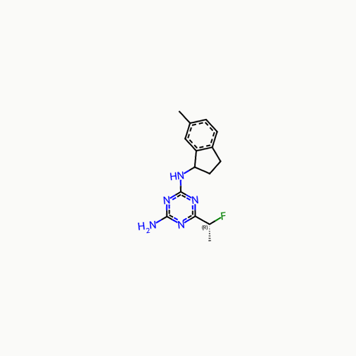 Cc1ccc2c(c1)C(Nc1nc(N)nc([C@@H](C)F)n1)CC2